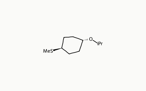 CS[C@H]1CC[C@H](OC(C)C)CC1